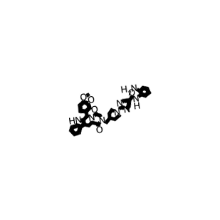 Nc1ccccc1NC(=O)c1cnc(N2CCC(CN3CC(=O)N4C(Cc5c([nH]c6ccccc56)C4c4ccc5c(c4)OCO5)C3=O)CC2)nc1